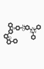 c1ccc(-c2nc(-c3ccccc3)nc(-c3ccc4nc(-c5ccc(-n6c7ccccc7c7cc(-c8cccc9c8oc8c(-c%10ccccc%10)cccc89)ccc76)cc5)oc4c3)n2)cc1